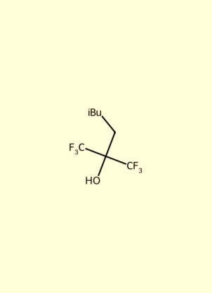 CCC(C)CC(O)(C(F)(F)F)C(F)(F)F